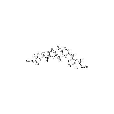 COC(=O)[C@@](C)(N)CC(=O)Nc1ccc2c(c1)C(=O)c1cc(NC(=O)C[C@](C)(N)C(=O)OC)ccc1C2=O